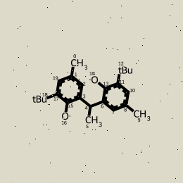 Cc1cc(C(C)c2cc(C)cc(C(C)(C)C)c2[O])c([O])c(C(C)(C)C)c1